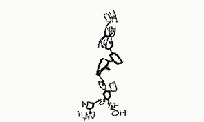 Cc1c(COc2cc(OCc3cncc(C(N)=O)c3)c(CNCCO)cc2Cl)cccc1-c1cccc(-c2ccn3c(=O)c(CNCCO)cnc3c2)c1